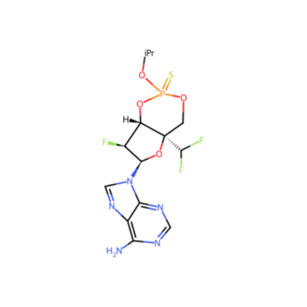 CC(C)OP1(=S)OC[C@@]2(C(F)F)O[C@@H](n3cnc4c(N)ncnc43)[C@@H](F)[C@@H]2O1